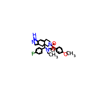 CCN(CC)[C@@H](c1ccc(F)cc1)C12Cc3cn[nH]c3C=C1CCN(S(=O)(=O)c1ccc(OC)cc1)C2